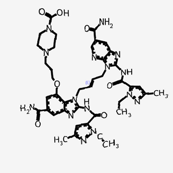 CCn1nc(C)cc1C(=O)Nc1nc2cc(C(N)=O)cnc2n1C/C=C/Cn1c(NC(=O)c2cc(C)nn2CC)nc2cc(C(N)=O)cc(OCCCN3CCN(C(=O)O)CC3)c21